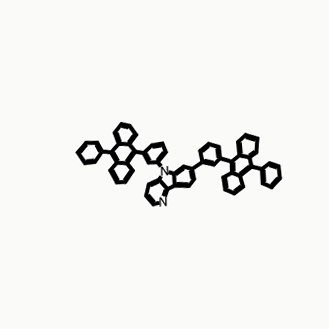 c1ccc(-c2c3ccccc3c(-c3cccc(-c4ccc5c6ncccc6n(-c6cccc(-c7c8ccccc8c(-c8ccccc8)c8ccccc78)c6)c5c4)c3)c3ccccc23)cc1